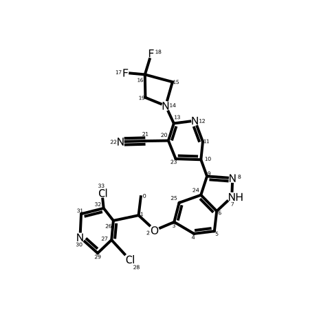 CC(Oc1ccc2[nH]nc(-c3cnc(N4CC(F)(F)C4)c(C#N)c3)c2c1)c1c(Cl)cncc1Cl